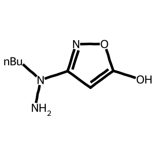 CCCCN(N)c1cc(O)on1